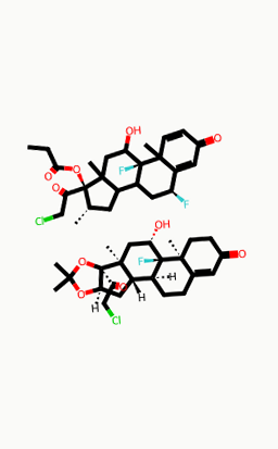 CC1(C)O[C@@H]2C[C@H]3[C@@H]4CCC5=CC(=O)CC[C@]5(C)[C@@]4(F)[C@@H](O)C[C@]3(C)[C@]2(C(=O)CCl)O1.CCC(=O)O[C@]1(C(=O)CCl)[C@@H](C)CC2C3C[C@H](F)C4=CC(=O)C=CC4(C)[C@@]3(F)C(O)CC21C